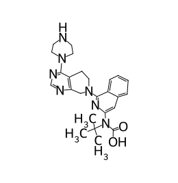 CC(C)(C)N(C(=O)O)c1cc2ccccc2c(N2CCc3c(ncnc3N3CCNCC3)C2)n1